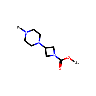 CC(C)N1CCN(C2CN(C(=O)OC(C)(C)C)C2)CC1